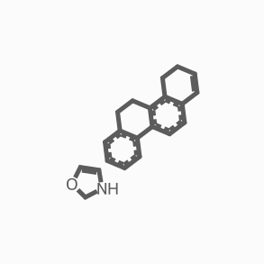 C1=COCN1.C1=Cc2ccc3c(c2CC1)CCc1ccccc1-3